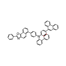 c1ccc(-c2nc3ccc4c(-c5ccc(N(c6ccc(-c7cc8ccccc8c8ccccc78)cc6)c6ccccc6-c6ccccc6)cc5)cccc4c3o2)cc1